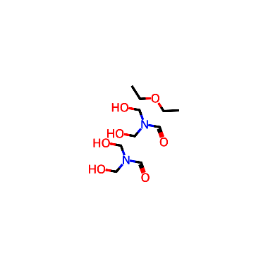 CCOCC.O=CN(CO)CO.O=CN(CO)CO